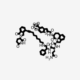 NC(=O)CC[C@H](NC(=O)[C@@H]1Cc2cccc3c2N1C(=O)[C@@H](NC(=O)c1cc2cc(C(=O)P(=O)(O)O)ccc2s1)CC3)C(=O)N[C@H](C(=O)NCCCCCCCC#Cc1cccc2c1CN(C1CCC(=O)NC1=O)C2=O)c1ccccc1